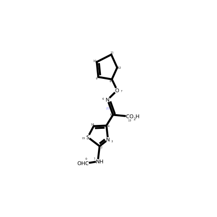 O=CNc1nc(/C(=N/OC2C=CCC2)C(=O)O)cs1